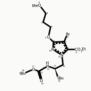 CCOC(=O)c1c(Br)c(OCCCOC)nn1C[C@H](NC(=O)OC(C)(C)C)C(C)(C)C